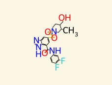 CC1CN(S(=O)(=O)c2cc(C(=O)Nc3ccc(F)c(F)c3)c3[nH]cnc3c2)CCC1CO